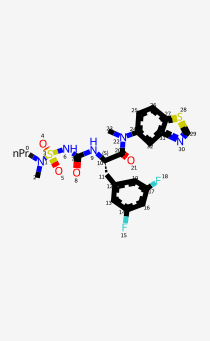 CCCN(C)S(=O)(=O)NC(=O)N[C@@H](Cc1cc(F)cc(F)c1)C(=O)N(C)c1ccc2scnc2c1